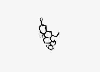 CCC1CC2=CC(=O)CC[C@@H]2C2CC[C@@]3(CC)C(CC[C@@]34CCCO4)C12